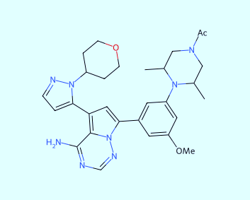 COc1cc(-c2cc(-c3ccnn3C3CCOCC3)c3c(N)ncnn23)cc(N2C(C)CN(C(C)=O)CC2C)c1